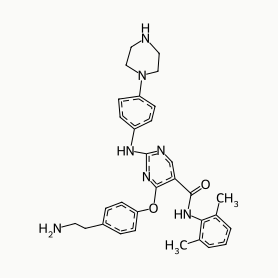 Cc1cccc(C)c1NC(=O)c1cnc(Nc2ccc(N3CCNCC3)cc2)nc1Oc1ccc(CCN)cc1